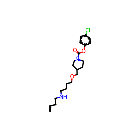 C=CCCNCCCCOCC1CCN(C(=O)Oc2ccc(Cl)cc2)CC1